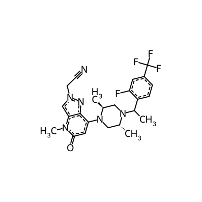 CC(c1ccc(C(F)(F)F)cc1F)N1C[C@H](C)N(c2cc(=O)n(C)c3cn(CC#N)nc23)C[C@H]1C